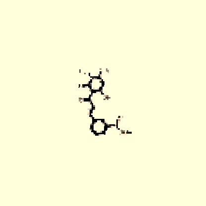 CON(C(C)=O)c1cccc(/C=C/C(=O)c2c(O)cc(C)n(C)c2=O)c1